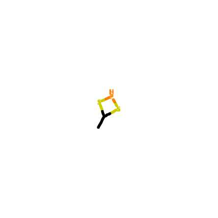 CC1SPS1